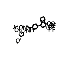 COC[C@H]1C[C@@H](c2ncc(-c3ccc(-c4ccc(OS(=O)(=O)C(F)(F)F)c5c4C4CCC5C4)cc3)[nH]2)N(C(=O)OC(C)(C)C)C1